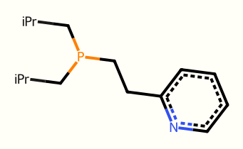 CC(C)CP(CCc1ccccn1)CC(C)C